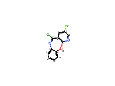 Fc1cnc2c(c1)C(Cl)=Nc1ccccc1O2